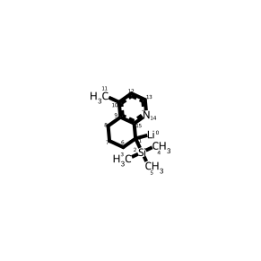 [Li][C]1([Si](C)(C)C)CCCc2c(C)ccnc21